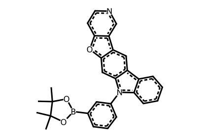 CC1(C)OB(c2cccc(-n3c4ccccc4c4cc5c(cc43)oc3ccncc35)c2)OC1(C)C